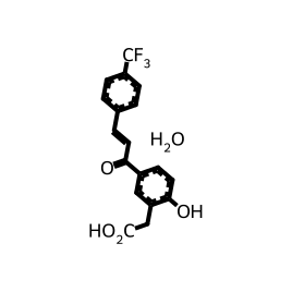 O.O=C(O)Cc1cc(C(=O)/C=C/c2ccc(C(F)(F)F)cc2)ccc1O